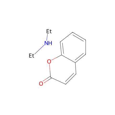 CCNCC.O=c1ccc2ccccc2o1